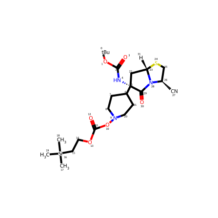 CC(C)(C)OC(=O)N[C@]1(C2CCN(OC(=O)OCC[Si](C)(C)C)CC2)C[C@@H]2SC[C@@H](C#N)N2C1=O